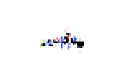 COCCOc1nnc(-c2cc(Cl)ccc2F)cc1Nc1ccnc(NC(=O)CCN2CCN(CC(F)(F)F)CC2)c1